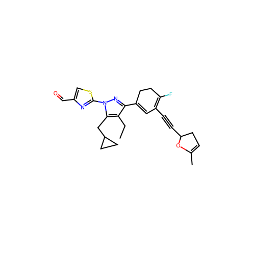 CCc1c(C2=CC(C#CC3CC=C(C)O3)=C(F)CC2)nn(-c2nc(C=O)cs2)c1CC1CC1